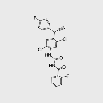 N#CC(c1ccc(F)cc1)c1cc(Cl)c(NC(=O)NC(=O)c2ccccc2F)cc1Cl